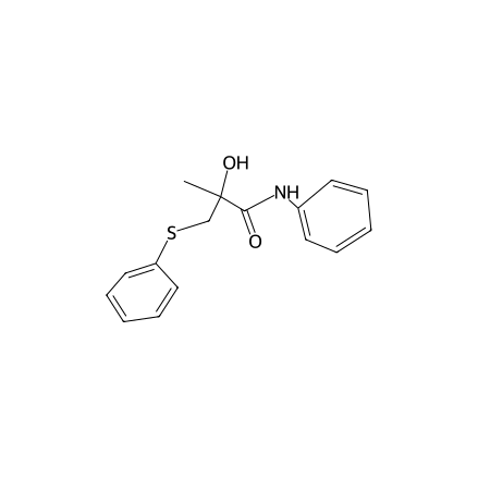 CC(O)(CSc1ccccc1)C(=O)Nc1ccccc1